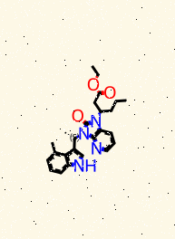 CCCC(CC(=O)OCC)n1c(=O)n([C@@H](C)c2c[nH]c3cccc(C)c23)c2ncccc21